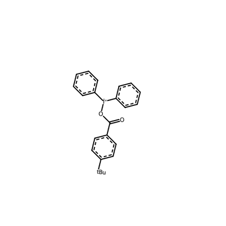 CC(C)(C)c1ccc(C(=O)O[I+](c2ccccc2)c2ccccc2)cc1